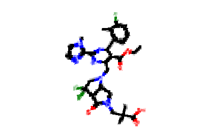 CCOC(=O)C1=C(CN2CC(F)(F)C3C(=O)N(CC(C)(C)C(=O)O)CC32)NC(c2nccn2C)=NC1c1cccc(F)c1C